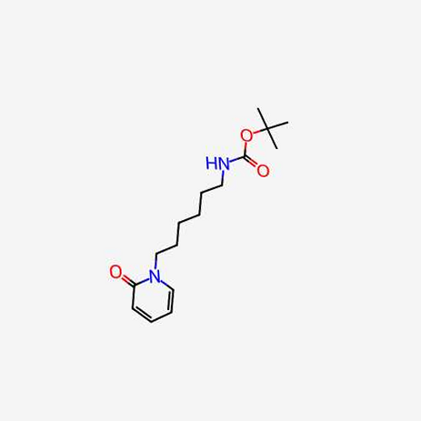 CC(C)(C)OC(=O)NCCCCCCn1ccccc1=O